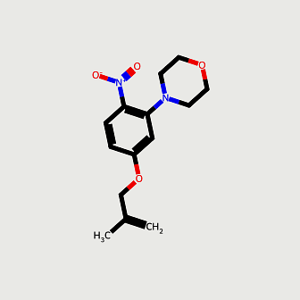 C=C(C)COc1ccc([N+](=O)[O-])c(N2CCOCC2)c1